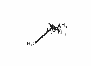 [2H]N(CCC[Si](OCC)(OCC)OCC)C(=O)CCCCCCCCCCCCCCCCC